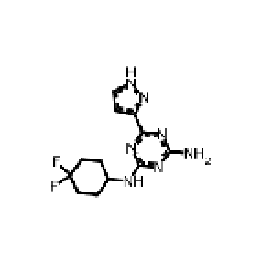 Nc1nc(NC2CCC(F)(F)CC2)nc(-c2cc[nH]n2)n1